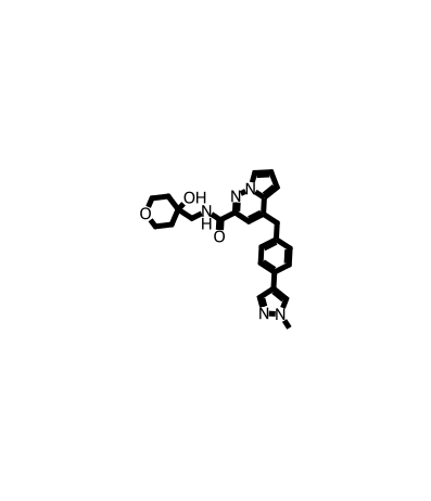 Cn1cc(-c2ccc(Cc3cc(C(=O)NCC4(O)CCOCC4)nn4cccc34)cc2)cn1